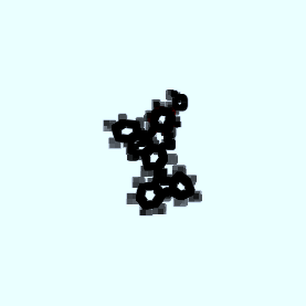 COc1ccc([Si]23c4ccccc4Sc4cc(-n5c6ccccc6c6ccccc65)cc(c42)Sc2ccccc23)cc1